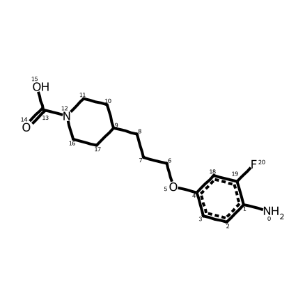 Nc1ccc(OCCCC2CCN(C(=O)O)CC2)cc1F